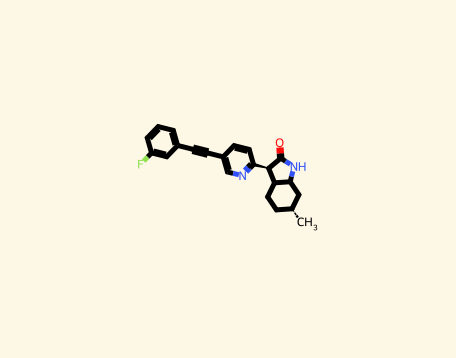 C[C@@H]1CCC2C(C1)NC(=O)[C@@H]2c1ccc(C#Cc2cccc(F)c2)cn1